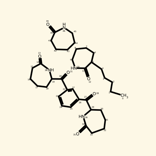 CCCCCC1CCCCNC1=O.O=C1CCCCC(C(=O)c2cccc(C(=O)C3CCCCC(=O)N3)c2)N1.O=C1CCCCCN1